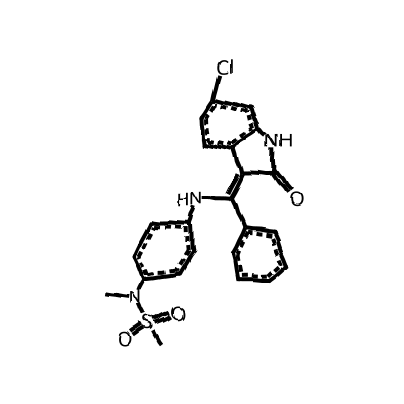 CN(c1ccc(NC(=C2C(=O)Nc3cc(Cl)ccc32)c2ccccc2)cc1)S(C)(=O)=O